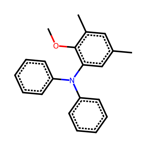 COc1c(C)cc(C)cc1N(c1ccccc1)c1ccccc1